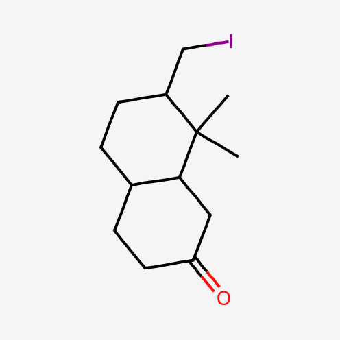 CC1(C)C(CI)CCC2CCC(=O)CC21